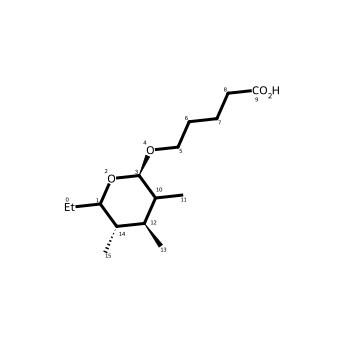 CCC1O[C@@H](OCCCCC(=O)O)C(C)[C@@H](C)[C@@H]1C